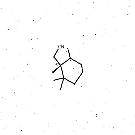 CC1CCCC(C)(C)[C@]1(C)CC#N